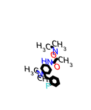 CC(C)=NOC(C)C(=O)NC1CCC(Cc2ccccc2F)(N(C)C)CC1